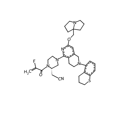 C=C(F)C(=O)N1CCN(c2nc(OCC34CCCN3CCC4)cc3c2CCN(c2cccc4c2CCCS4)C3)C[C@@H]1CC#N